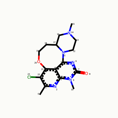 Cc1nc2c3c(nc(=O)n2C)N2CCN(C)CC2CCOc3c1Cl